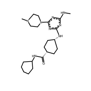 CNc1nc(N[C@H]2CC[C@@H](C(=O)NC3CCCCC3)CC2)nc(N2CCN(C)CC2)n1